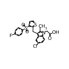 Cc1c(Cc2sccc2S(=O)(=O)c2ccc(F)cc2)c2cc(Cl)ccc2n1CC(=O)O